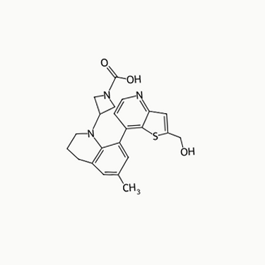 Cc1cc2c(c(-c3ccnc4cc(CO)sc34)c1)N(C1CN(C(=O)O)C1)CCC2